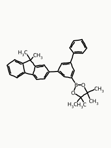 CC1(C)c2ccccc2-c2ccc(-c3cc(B4OC(C)(C)C(C)(C)O4)cc(-c4ccccc4)c3)cc21